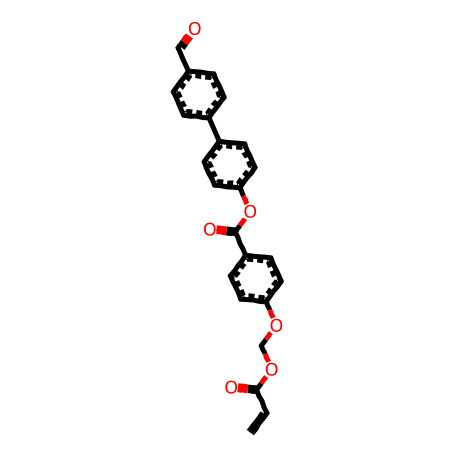 C=CC(=O)OCOc1ccc(C(=O)Oc2ccc(-c3ccc(C=O)cc3)cc2)cc1